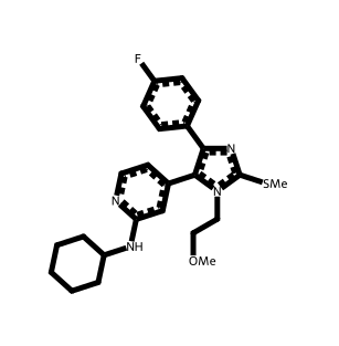 COCCn1c(SC)nc(-c2ccc(F)cc2)c1-c1ccnc(NC2CCCCC2)c1